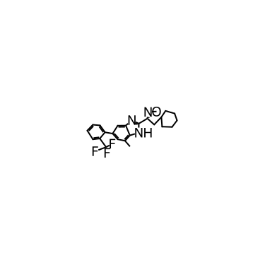 Cc1cc(-c2ccccc2C(F)(F)F)cc2nc(C3=NOC4(CCCCC4)C3)[nH]c12